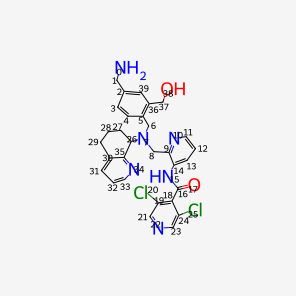 NCc1ccc(CN(Cc2ncccc2NC(=O)c2c(Cl)cncc2Cl)C2CCCc3cccnc32)c(CO)c1